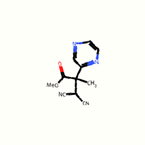 COC(=O)C(C)(c1cnccn1)C(C#N)C#N